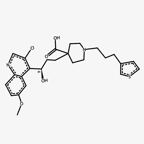 COc1ccc2ncc(Cl)c([C@H](O)CCC3(C(=O)O)CCN(CCCc4ccsc4)CC3)c2c1